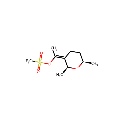 CC(OS(=O)(=O)C(F)(F)F)=C1CC[C@@H](C)O[C@H]1C